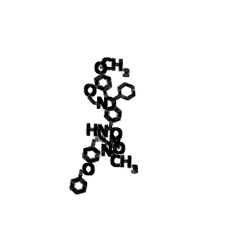 COc1ccc2c(c1)OCCn1c-2c(C2CCCCC2)c2ccc(C(=O)N[C@@H](Cc3ccc(OCc4ccccc4)cc3)c3noc(C)n3)cc21